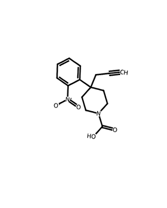 C#CCC1(c2ccccc2[N+](=O)[O-])CCN(C(=O)O)CC1